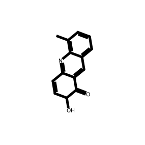 Cc1cccc2cc3c(nc12)C=CC(O)C3=O